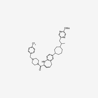 COc1cnc(CC(C)C2CCCC(c3ccc4c(c3)CC=C=C(C(=O)N3CCN(Cc5ccc(C(F)(F)F)cc5)CC3)N4)CC2)cn1